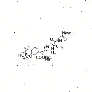 CNC(=O)CNC(=O)[C@](C)(N)CN1CC(Oc2ccc3c(c2C(=O)[O-])O[B-](O)(O)[C@@H]2C[C@H]32)C1.[Na+].[Na+]